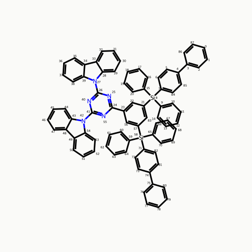 c1ccc(-c2ccc([Si](c3ccccc3)(c3ccccc3)c3cc(-c4nc(-n5c6ccccc6c6ccccc65)nc(-n5c6ccccc6c6ccccc65)n4)cc([Si](c4ccccc4)(c4ccccc4)c4ccc(-c5ccccc5)cc4)c3)cc2)cc1